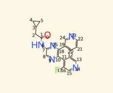 O=C(CC1CC1)Nc1cnc(-c2ccncc2F)c(-c2cccnc2)n1